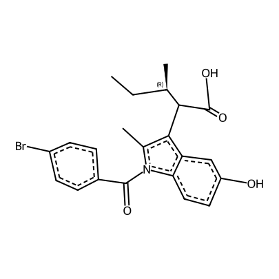 CC[C@@H](C)C(C(=O)O)c1c(C)n(C(=O)c2ccc(Br)cc2)c2ccc(O)cc12